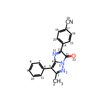 Cc1nn2c(c1-c1ccccc1)N=C(c1ccc(C#N)cc1)C2=O